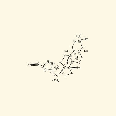 C[C@@H]([C@H]1CC[C@H]2[C@@H]3CC[C@@H]4C[C@](C)(O)CC[C@@H]4[C@H]3CC[C@]12C)n1cc(C#N)cn1